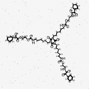 O=C(NCCCCCCn1c(=O)n(CCCCCCNC(=O)OCCNC(=O)C(=O)c2ccccc2)c(=O)n(CCCCCCNC(=O)OCCNC(=O)C(=O)c2ccccc2)c1=O)OCCNC(=O)C(=O)c1ccccc1